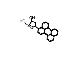 OC[C@H]1OC(c2ccc3c4cccc5cccc(c6cccc2c63)c54)CC1O